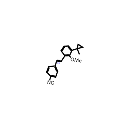 COc1c(/C=C/c2ccc(N=O)cc2)cccc1C1(C)CC1